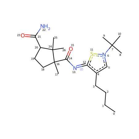 CCCCc1cn(C(C)(C)C)s/c1=N\C(=O)C1(C)CCC(C(N)=O)C1(C)C